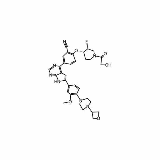 COc1cc(-c2cc3c(-c4ccc(O[C@H]5CCN(C(=O)CO)C[C@@H]5F)c(C#N)c4)ncnc3[nH]2)ccc1N1CCN(C2COC2)CC1